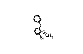 COc1c(Br)cccc1Cc1ccccc1